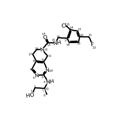 C[C@@H](CO)Nc1ncc2c(n1)CN(C(=O)NCc1ccc(CF)cc1Cl)CC2